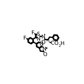 CN(C(=O)[C@@H](CC(=O)O)Cc1ccccc1)c1nc(-c2cc(F)ccc2-c2cnc3c(c2)CC(=O)N3C)c(F)s1